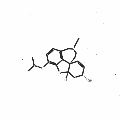 CC(C)Oc1ccc2c3c1O[C@H]1C[C@@H](O)C=C[C@@]31CCN(C)C2